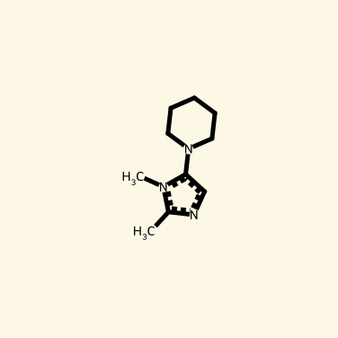 Cc1ncc(N2CCCCC2)n1C